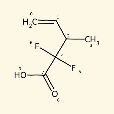 C=CC(C)C(F)(F)C(=O)O